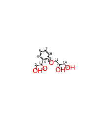 O=C(CO)c1ccccc1OCC(O)CO